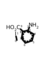 CI.Nc1ccccc1C(=O)O